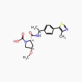 CO[C@@H]1C[C@@H](C(=O)N[C@@H](C)c2ccc(-c3scnc3C)cc2)N(C(=O)O)C1